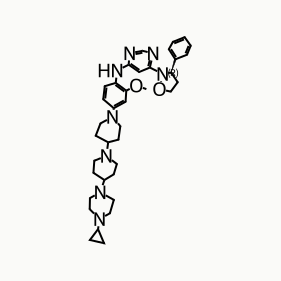 COc1cc(N2CCC(N3CCC(N4CCN(C5CC5)CC4)CC3)CC2)ccc1Nc1cc(N2OCC[C@@H]2c2ccccc2)ncn1